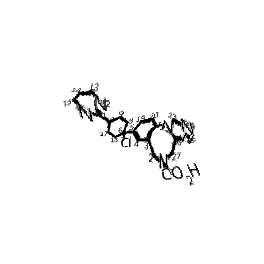 O=C(O)N1Cc2cc(C3(Cl)CCC(c4ncccn4)CC3)ccc2-n2cnnc2C1